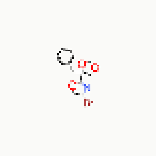 Brc1coc(C2(Cc3ccccc3)COCO2)n1